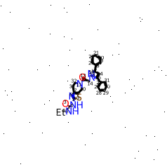 CCNC(=O)Nc1nc2c(s1)CN(C(=O)Cn1nc(-c3ccccc3)cc1-c1ccccc1)CC2